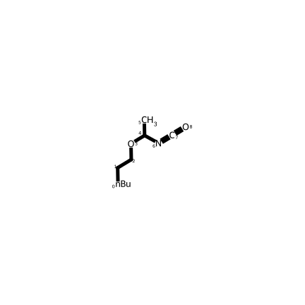 CCCCCCOC(C)N=C=O